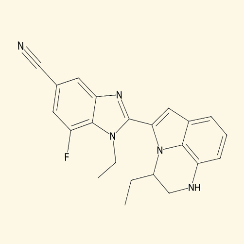 CCC1CNc2cccc3cc(-c4nc5cc(C#N)cc(F)c5n4CC)n1c23